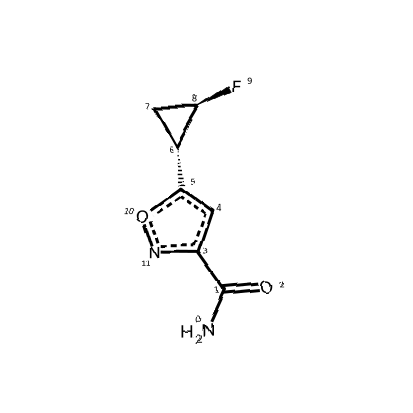 NC(=O)c1cc([C@@H]2C[C@H]2F)on1